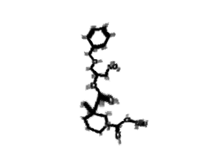 CC(C)(C)OC(=O)N1CCCC(C)(C(=O)OC(COCc2ccccc2)C[N+](=O)[O-])C1